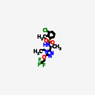 CCn1c(OCC(F)(F)F)nnc1[C@@H](C)NS(=O)(=O)c1cccc(Cl)c1C